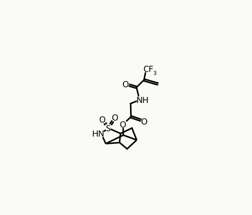 C=C(C(=O)NCC(=O)OC1C2CC3C1NS(=O)(=O)C3C2)C(F)(F)F